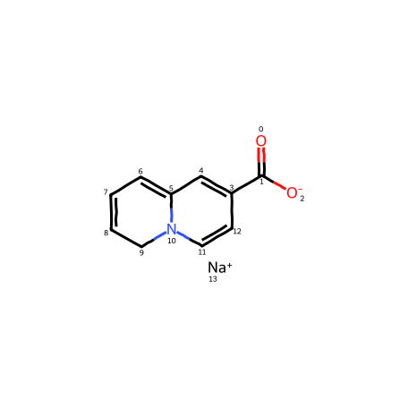 O=C([O-])C1=CC2=CC=CCN2C=C1.[Na+]